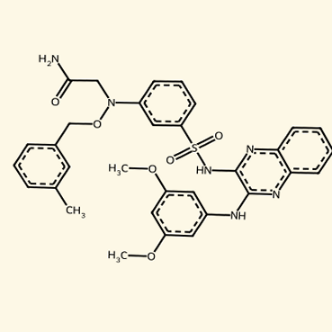 COc1cc(Nc2nc3ccccc3nc2NS(=O)(=O)c2cccc(N(CC(N)=O)OCc3cccc(C)c3)c2)cc(OC)c1